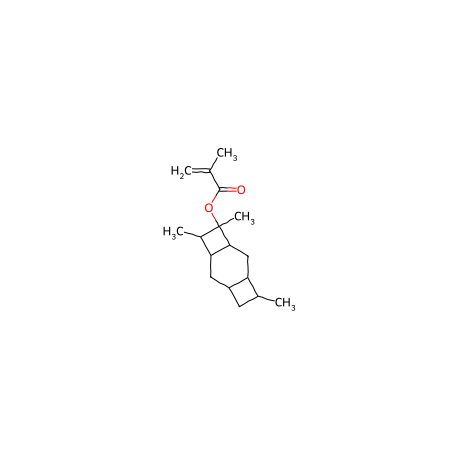 C=C(C)C(=O)OC1(C)C(C)C2CC3CC(C)C3CC21